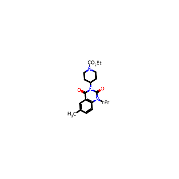 CCCn1c(=O)n(C2CCN(C(=O)OCC)CC2)c(=O)c2cc(C)ccc21